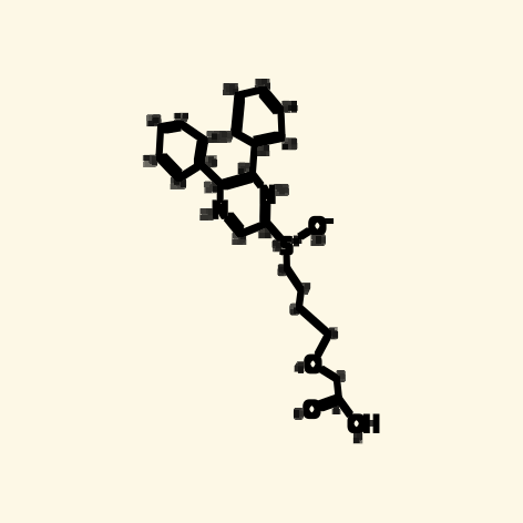 O=C(O)COCCCC[S+]([O-])c1cnc(-c2ccccc2)c(-c2ccccc2)n1